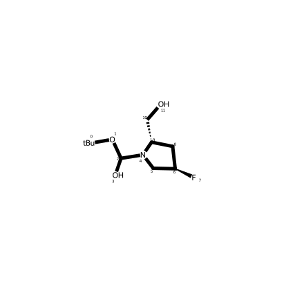 CC(C)(C)OC(O)N1C[C@H](F)C[C@H]1CO